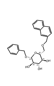 O[C@@H]1[C@@H](O)[C@H](OCc2ccccc2)O[C@H](COCc2ccc3ccccc3c2)[C@H]1O